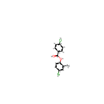 CC(=O)c1cc(Br)ccc1OC(=O)c1ccc(Cl)cc1